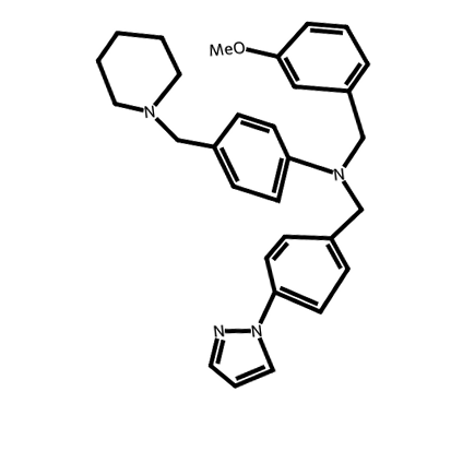 COc1cccc(CN(Cc2ccc(-n3cccn3)cc2)c2ccc(CN3CCCCC3)cc2)c1